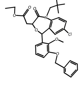 CCOC(=O)CC1OC(c2cccc(OCc3ccccc3)c2OC)c2cc(Cl)ccc2N(CC(C)(C)C)C1=O